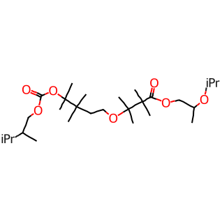 CC(C)OC(C)COC(=O)C(C)(C)C(C)(C)OCCC(C)(C)C(C)(C)OC(=O)OCC(C)C(C)C